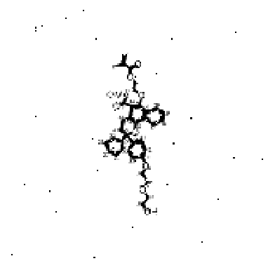 C=C(C)C(=O)OCCOc1c(C(=O)OC)c2c(c3ccccc13)OC(c1ccccc1)(c1ccc(OCCOCCO)cc1)C=C2